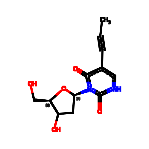 CC#Cc1c[nH]c(=O)n([C@H]2CC(O)[C@@H](CO)O2)c1=O